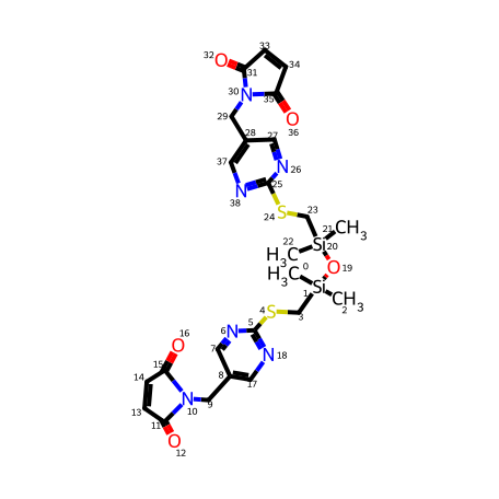 C[Si](C)(CSc1ncc(CN2C(=O)C=CC2=O)cn1)O[Si](C)(C)CSc1ncc(CN2C(=O)C=CC2=O)cn1